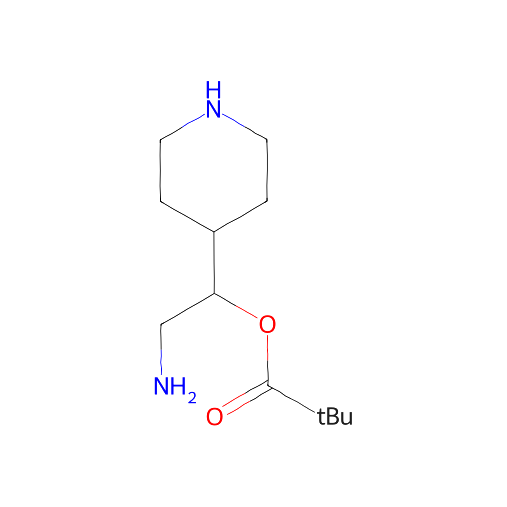 CC(C)(C)C(=O)OC(CN)C1CCNCC1